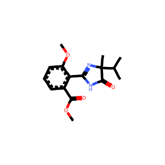 COC(=O)c1cccc(OC)c1C1=NC(C)(C(C)C)C(=O)N1